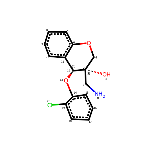 NC[C@]1(O)COc2ccccc2[C@@H]1Oc1ccccc1Cl